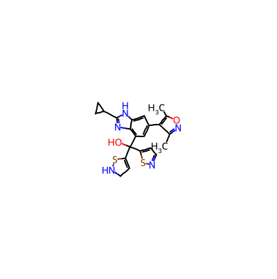 Cc1noc(C)c1-c1cc(C(O)(C2=CCNS2)c2ccns2)c2nc(C3CC3)[nH]c2c1